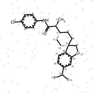 C[C@H](C(=O)Nc1ccc(Cl)cc1)[C@H]1CC[C@]2(CC1)COc1cc(C(F)F)ccc12